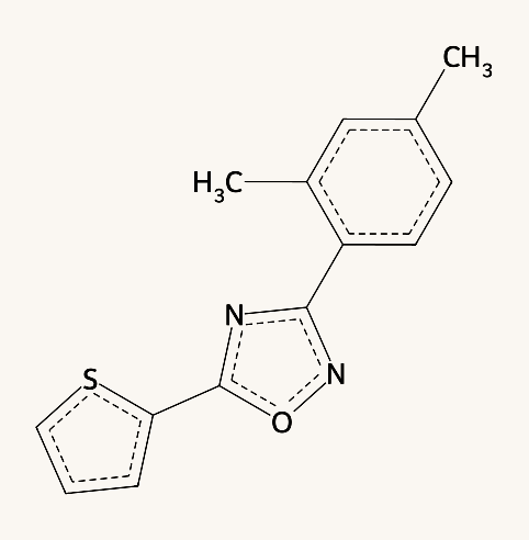 Cc1ccc(-c2noc(-c3cccs3)n2)c(C)c1